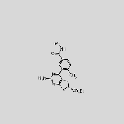 CCCNC(=O)c1ccc(C)c(-c2nc(N)nc3c2CC(C(=O)OCC)S3)c1